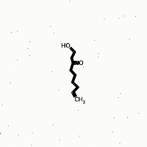 C=CCCCCC(=O)CCO